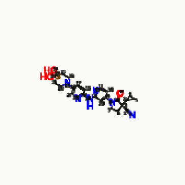 N#C[C@@]1(C2CC2)CCN(c2ccnc(Nc3ccc(N4CCS(O)(O)CC4)cn3)c2)C1=O